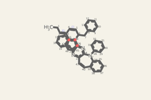 CC/C=C(\C=C/C(Cc1ccccc1)n1c2ccccc2c2nc3c(nc21)N(c1ccccc1)c1ccccc1C=C3)c1ccccc1